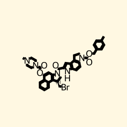 Cc1ccc(COC(=O)N2CCc3c2ccc2[nH]c(C(=O)N4C[C@@H](CBr)c5c4cc(OC(=O)N4CCN(C)CC4)c4ccccc54)cc32)cc1